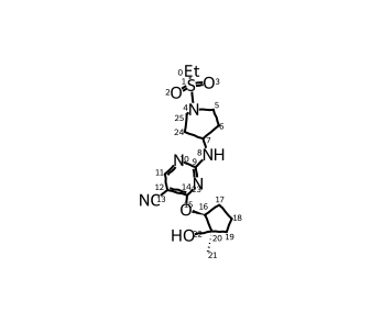 CCS(=O)(=O)N1CCC(Nc2ncc(C#N)c(O[C@H]3CCC[C@@]3(C)O)n2)CC1